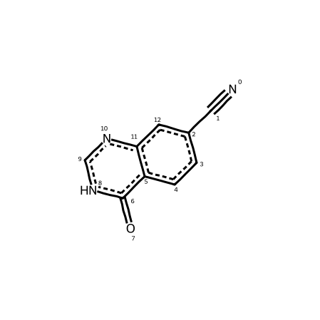 N#Cc1ccc2c(=O)[nH]cnc2c1